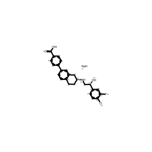 O=C(O)c1ccc(-c2ccc3c(c2)C[C@@H](NC[C@@H](O)c2ccc(Cl)c(F)c2)CC3)cc1.[NaH]